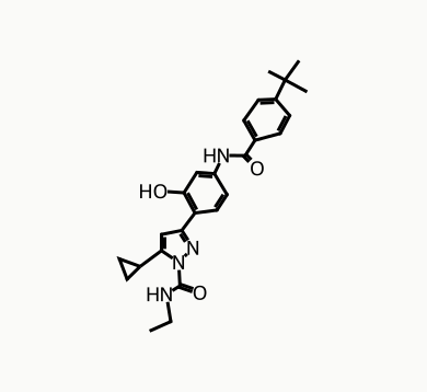 CCNC(=O)n1nc(-c2ccc(NC(=O)c3ccc(C(C)(C)C)cc3)cc2O)cc1C1CC1